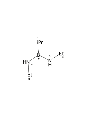 CCNB(NCC)C(C)C